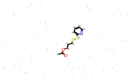 CC(=O)OCCCSSc1ccccn1